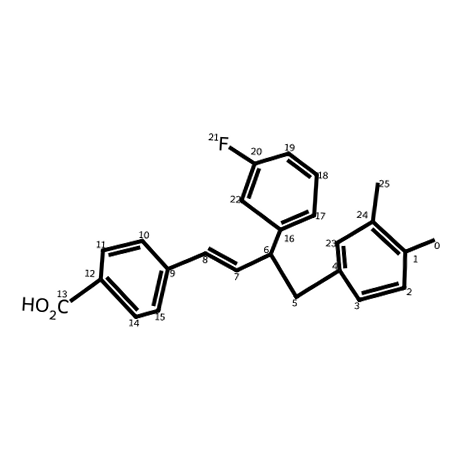 Cc1ccc(CC(/C=C/c2ccc(C(=O)O)cc2)c2cccc(F)c2)cc1C